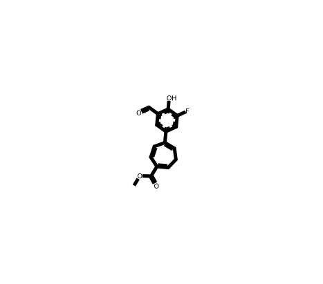 COC(=O)C1=CCC=C(c2cc(F)c(O)c(C=O)c2)C=C1